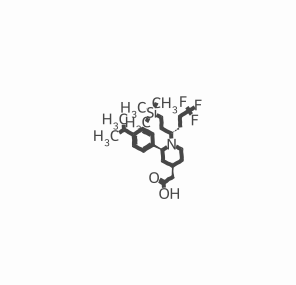 CC(C)c1ccc([C@@H]2C[C@H](CC(=O)O)CCN2[C@@H](CCC(F)(F)F)CC[Si](C)(C)C)cc1